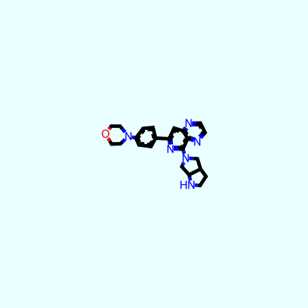 c1cnc2c(N3CC4CCNC4C3)nc(-c3ccc(N4CCOCC4)cc3)cc2n1